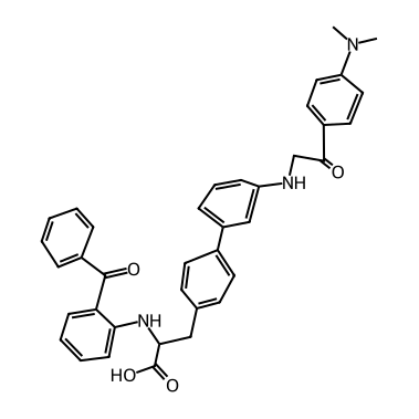 CN(C)c1ccc(C(=O)CNc2cccc(-c3ccc(CC(Nc4ccccc4C(=O)c4ccccc4)C(=O)O)cc3)c2)cc1